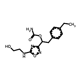 CCc1ccc(CC(OC(N)=O)c2noc(NCCO)n2)cc1